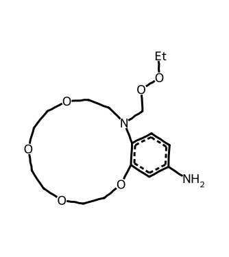 CCOOCN1CCOCCOCCOCCOc2cc(N)ccc21